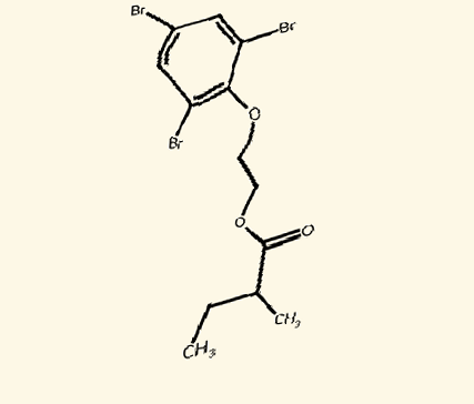 CCC(C)C(=O)OCCOc1c(Br)cc(Br)cc1Br